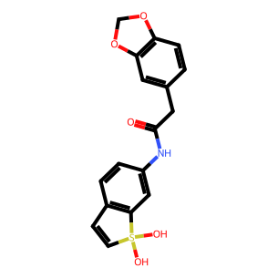 O=C(Cc1ccc2c(c1)OCO2)Nc1ccc2c(c1)S(O)(O)C=C2